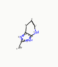 CC(C)c1nc2c([nH]1)NCCC2